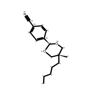 CCCCC[C@]1(C)CO[C@@H](c2ccc(C#N)cc2)OC1